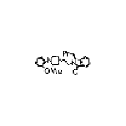 COc1ccccc1N1CCN(CCN2C(=O)c3ccccc3/C2=C/C(C)C)CC1